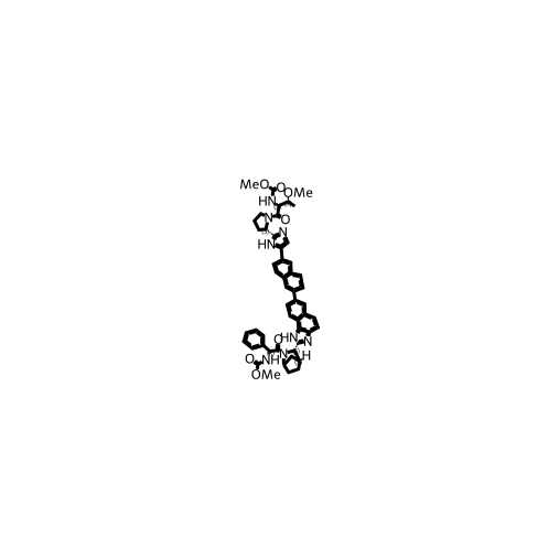 COC(=O)N[C@H](C(=O)N1CCC[C@H]1c1ncc(-c2ccc3cc(-c4ccc5c(ccc6nc([C@@H]7[C@H]8CCC(C8)N7C(=O)[C@H](NC(=O)OC)c7ccccc7)[nH]c65)c4)ccc3c2)[nH]1)[C@@H](C)OC